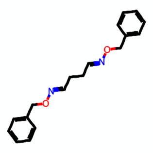 C(CCC=NOCc1ccccc1)=NOCc1ccccc1